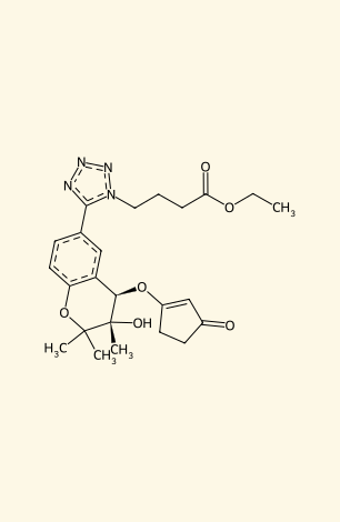 CCOC(=O)CCCn1nnnc1-c1ccc2c(c1)[C@@H](OC1=CC(=O)CC1)[C@](C)(O)C(C)(C)O2